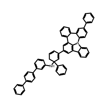 C1=CC(c2cc3c4c(c2)c2ccccc2n4-c2ccc(-c4ccccc4)cc2-c2ccccc2-3)=CC(Nc2cccc(-c3ccc(-c4ccccc4)cc3)c2)(c2ccccc2)C1